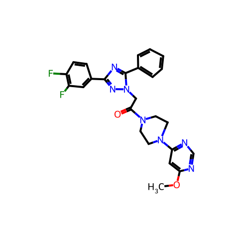 COc1cc(N2CCN(C(=O)Cn3nc(-c4ccc(F)c(F)c4)nc3-c3ccccc3)CC2)ncn1